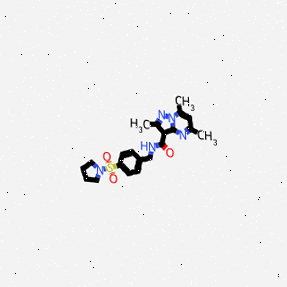 CC1=CC(C)=NC2C(C(=O)NCc3ccc(S(=O)(=O)N4CCCC4)cc3)C(C)=NN12